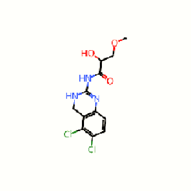 COCC(O)C(=O)NC1=Nc2ccc(Cl)c(Cl)c2CN1